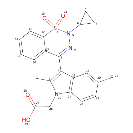 Cc1c(C2=NN(C3CC3)S(=O)(=O)c3ccccc32)c2cc(F)ccc2n1CC(=O)O